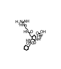 N=C(N)NOCCNC(=O)Cc1cc[nH]c(=O)c1NS(=O)(=O)Cc1ccccc1.O=C(O)C(F)(F)F